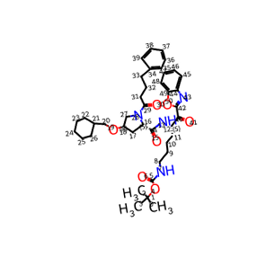 CC(C)(C)OC(=O)NCCCC[C@H](NC(=O)[C@@H]1C[C@@H](OCC2CCCCC2)CN1C(=O)CCCc1ccccc1)C(=O)c1nc2ccccc2o1